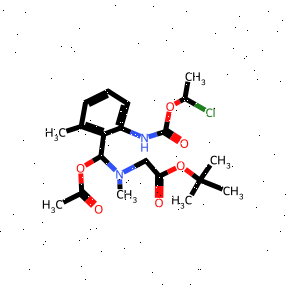 CC(=O)OC(c1c(C)cccc1NC(=O)OC(C)Cl)N(C)CC(=O)OC(C)(C)C